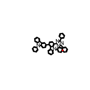 c1ccc(-c2nc(-c3ccccc3)nc(-c3ccc(-c4ccc5c(c4)c4ccccc4n5-c4ccccc4)c4c5ccccc5n(-c5ccccc5)c34)n2)cc1